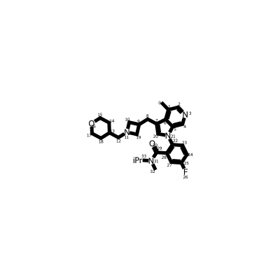 Cc1cncc2c1c(CC1CN(CC3CCOCC3)C1)cn2-c1ccc(F)cc1C(=O)N(C)C(C)C